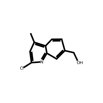 Cc1cc(Cl)nc2cc(CO)ccc12